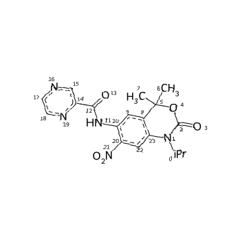 CC(C)N1C(=O)OC(C)(C)c2cc(NC(=O)c3cnccn3)c([N+](=O)[O-])cc21